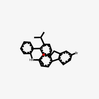 CC(C)c1cccc(C(C)C)c1-c1ccccc1Nc1ccc2c(c1)Cc1cc(Br)ccc1-2